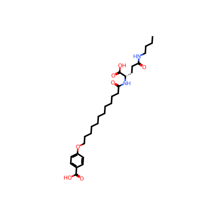 CCCCNC(=O)CC[C@H](NC(=O)CCCCCCCCCCCOc1ccc(C(=O)O)cc1)C(=O)O